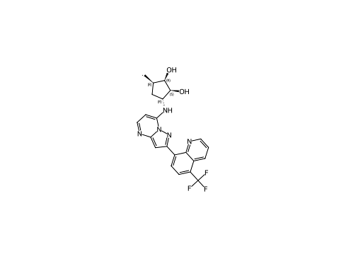 [CH2][C@@H]1C[C@@H](Nc2ccnc3cc(-c4ccc(C(F)(F)F)c5cccnc45)nn23)[C@H](O)[C@@H]1O